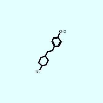 CCC1CCC(CCc2ccc(C=O)cc2)CC1